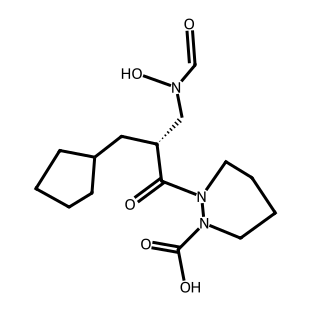 O=CN(O)C[C@@H](CC1CCCC1)C(=O)N1CCCCN1C(=O)O